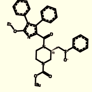 CCOc1nc(C(=O)N2CCN(C(=O)OC(C)(C)C)C[C@H]2C[S+]([O-])c2ccccc2)c(-c2ccccc2)n1-c1ccccc1